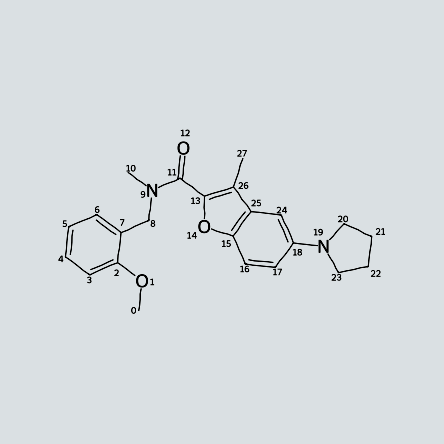 COc1ccccc1CN(C)C(=O)c1oc2ccc(N3CCCC3)cc2c1C